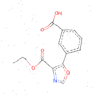 CCOC(=O)c1ncoc1-c1cccc(C(=O)O)c1